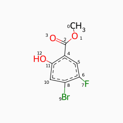 COC(=O)c1cc(F)c(Br)cc1O